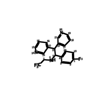 Fc1ccc(C(NCC(F)(F)F)C(c2cccnc2)c2cccnc2)cc1